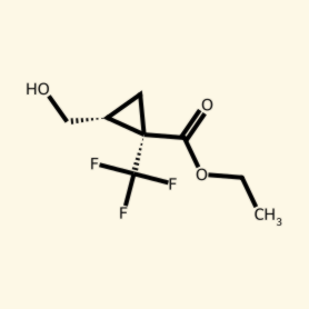 CCOC(=O)[C@]1(C(F)(F)F)C[C@H]1CO